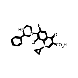 O=C(O)c1cn(C2CC2)c2c(Cl)c(N3CCNC(c4ccccc4)C3)c(F)cc2c1=O